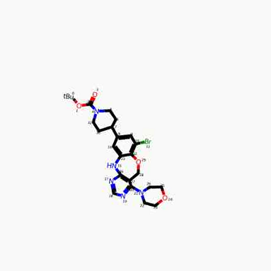 CC(C)(C)OC(=O)N1CCC(c2cc(Br)c3c(c2)Nc2ncnc(N4CCOCC4)c2CO3)CC1